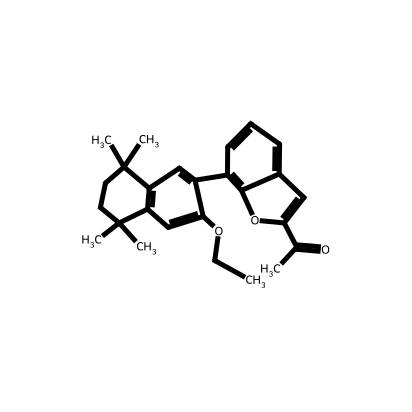 CCOc1cc2c(cc1-c1cccc3cc(C(C)=O)oc13)C(C)(C)CCC2(C)C